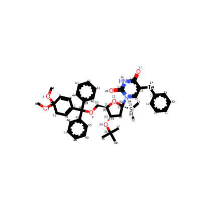 COC1(OC)C=CC(C(OC[C@H]2O[C@](n3cc([Te]c4ccccc4)c(=O)[nH]c3=O)([SiH](C)C)C[C@@H]2OC(C)(C)C)(c2ccccc2)c2ccccc2)=CC1